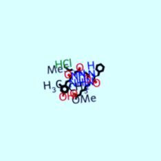 COC(=O)CCCCCNC(=O)[C@H](CC1CCCCC1)NC(=O)CNC(=O)[C@@H](CCSC)NC(=O)[C@H](N)Cc1c(C)cc(O)cc1C.Cl